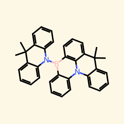 CC1(C)c2ccccc2N(B2c3ccccc3N3c4ccccc4C(C)(C)c4cccc2c43)c2ccccc21